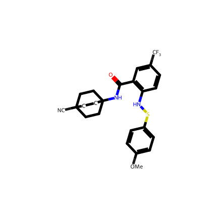 COc1ccc(SNc2ccc(C(F)(F)F)cc2C(=O)NC23CCC(C#N)(CC2)CC3)cc1